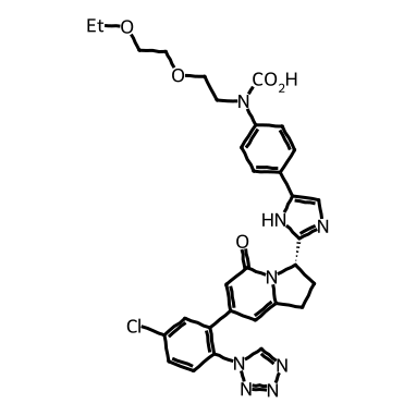 CCOCCOCCN(C(=O)O)c1ccc(-c2cnc([C@@H]3CCc4cc(-c5cc(Cl)ccc5-n5cnnn5)cc(=O)n43)[nH]2)cc1